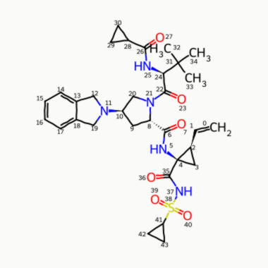 C=C[C@H]1C[C@]1(NC(=O)[C@@H]1C[C@@H](N2Cc3ccccc3C2)CN1C(=O)[C@@H](NC(=O)C1CC1)C(C)(C)C)C(=O)NS(=O)(=O)C1CC1